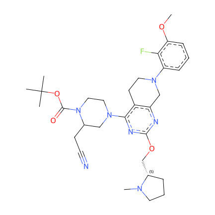 COc1cccc(N2CCc3c(nc(OC[C@@H]4CCCN4C)nc3N3CCN(C(=O)OC(C)(C)C)C(CC#N)C3)C2)c1F